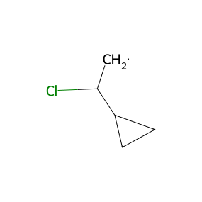 [CH2]C(Cl)C1CC1